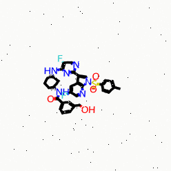 Cc1ccc(S(=O)(=O)n2cc(-c3ncc(F)c(N[C@H]4CCC[C@@H](NC(=O)c5cccc(CO)c5)C4)n3)c3cc(F)cnc32)cc1